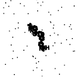 Cc1nc2ccc(-c3ccc4c(c3)CN(C(=O)c3cccc5c3nnn5C(C)C)CCO4)cc2[nH]1